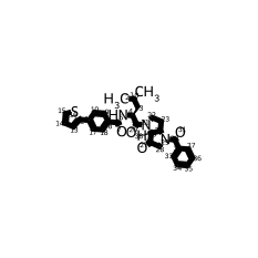 CC(C)C[C@H](NC(=O)c1ccc(-c2cccs2)cc1)C(=O)N1CCC2[C@H]1C(=O)CN2C(=O)c1ccccc1